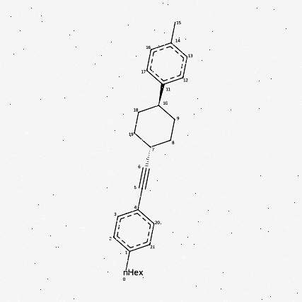 CCCCCCc1ccc(C#C[C@H]2CC[C@H](c3ccc(C)cc3)CC2)cc1